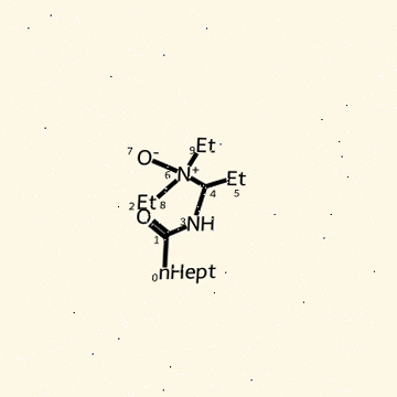 CCCCCCCC(=O)NC(CC)[N+]([O-])(CC)CC